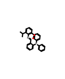 CC(C)c1cccc(C(C)C)c1N=Cc1ccccc1P(c1ccccc1)c1ccccc1